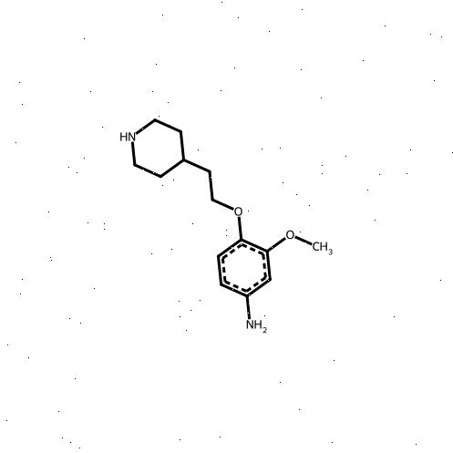 COc1cc(N)ccc1OCCC1CCNCC1